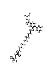 CCC(C)COC(=O)c1ccc(-c2ccccc2)c(OCCCCCCCCCCCCOC(=O)CCC(=O)O)c1